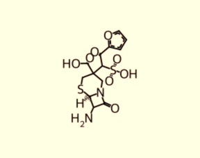 NC1C(=O)N2CC(C(=O)O)(C(C(=O)c3ccco3)S(=O)(=O)O)CS[C@H]12